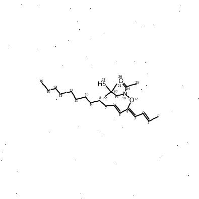 CC=CC=C(C=CCCCCCCCCCC)ON(CC(C)(C)S)C(C)=O